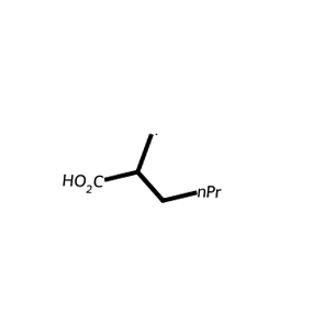 [CH2]C(CCCC)C(=O)O